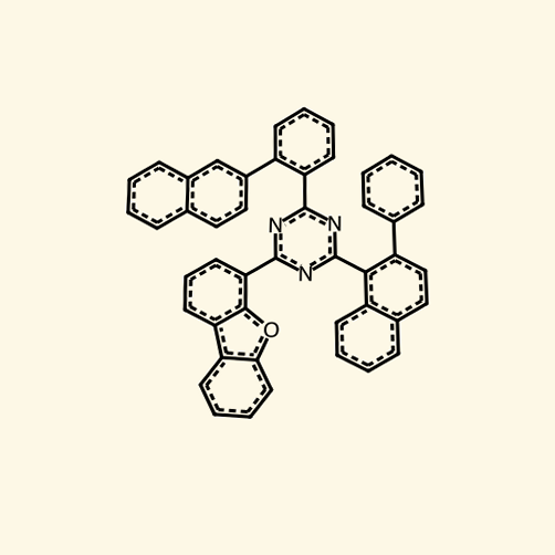 c1ccc(-c2ccc3ccccc3c2-c2nc(-c3ccccc3-c3ccc4ccccc4c3)nc(-c3cccc4c3oc3ccccc34)n2)cc1